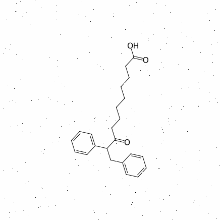 O=C(O)CCCCCCCC(=O)C(Cc1ccccc1)c1ccccc1